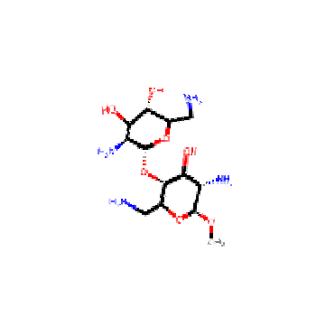 CO[C@H]1OC(CN)[C@@H](O[C@H]2OC(CN)[C@@H](O)C(O)[C@@H]2N)C(O)[C@@H]1N